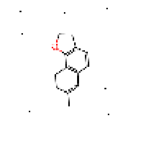 CC1=Cc2ccc3c(c2CC1)OCC3